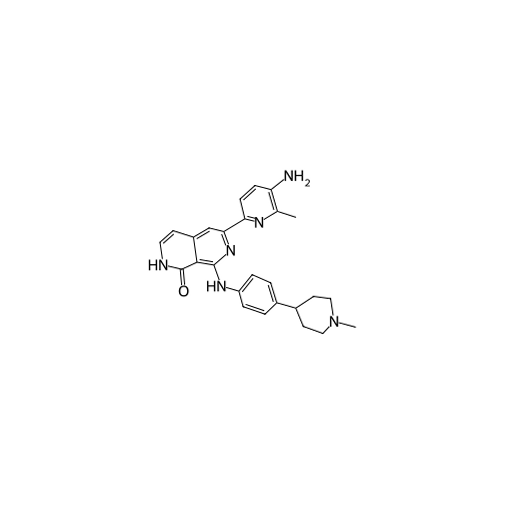 Cc1nc(-c2cc3cc[nH]c(=O)c3c(Nc3ccc(C4CCN(C)CC4)cc3)n2)ccc1N